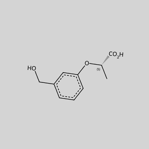 C[C@H](Oc1cccc(CO)c1)C(=O)O